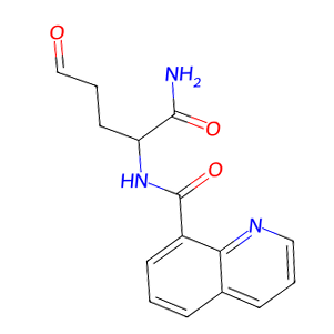 NC(=O)C(CCC=O)NC(=O)c1cccc2cccnc12